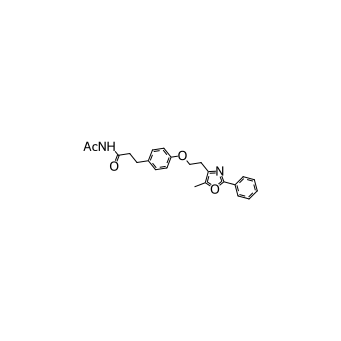 CC(=O)NC(=O)CCc1ccc(OCCc2nc(-c3ccccc3)oc2C)cc1